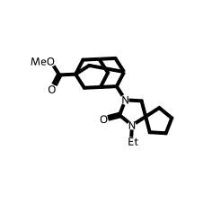 CCN1C(=O)N(C2C3CC4CC2CC(C(=O)OC)(C4)C3)CC12CCCC2